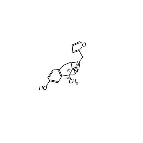 CC[C@H]1C2Cc3ccc(O)cc3[C@@]1(C)CCN2Cc1ccco1